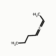 [CH2]C=C=CCC[CH2]